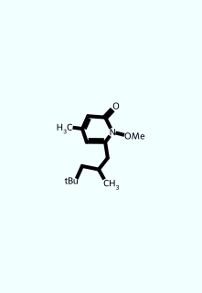 COn1c(CC(C)CC(C)(C)C)cc(C)cc1=O